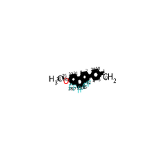 C=CC1CCC(c2ccc3c(c2F)C(F)(F)C(F)(F)c2c-3ccc(OCC)c2F)CC1